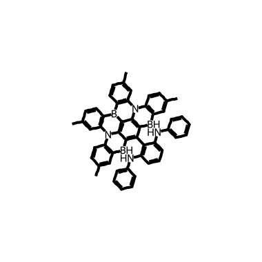 Cc1ccc2c(c1)Bc1c(-c3c(Nc4ccccc4)cccc3Nc3ccccc3)c3c4c5c1N2c1cc(C)ccc1B5c1ccc(C)cc1N4c1ccc(C)cc1B3